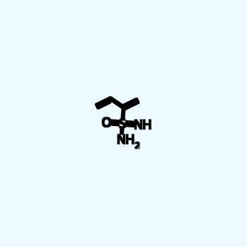 C=CC(=C)S(=N)(N)=O